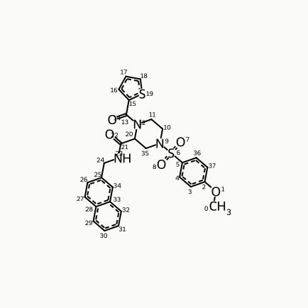 COc1ccc(S(=O)(=O)N2CCN(C(=O)c3cccs3)C(C(=O)NCc3ccc4ccccc4c3)C2)cc1